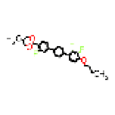 C=CCCOc1ccc(-c2ccc(-c3ccc(C4OCC(C)CO4)c(F)c3)cc2)c(F)c1F